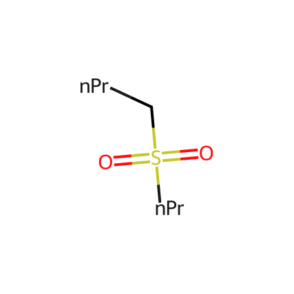 [CH2]CCS(=O)(=O)CCCC